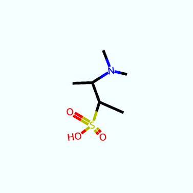 CC(C(C)S(=O)(=O)O)N(C)C